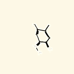 CC1=CC(=N)/C(=N\S)C=C1C